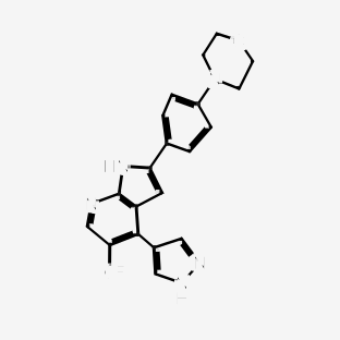 FC(F)(F)c1cnc2[nH]c(-c3ccc(N4CCOCC4)cc3)cc2c1-c1cn[nH]c1